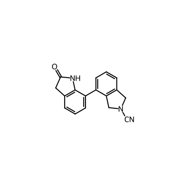 N#CN1Cc2cccc(-c3cccc4c3NC(=O)C4)c2C1